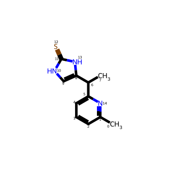 Cc1cccc(C(C)c2c[nH]c(=S)[nH]2)n1